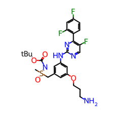 CC(C)(C)OC(=O)N=S(C)(=O)Cc1cc(Nc2ncc(F)c(-c3ccc(F)cc3F)n2)cc(OCCCN)c1